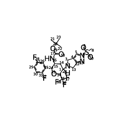 [2H][C@@]1(N2Cc3cn(S(C)(=O)=O)nc3C2)C[C@H](NC(=O)OC(C)(C)C)[C@@H](c2cc(F)ccc2F)O[C@@H]1C(F)(F)F